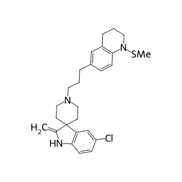 C=C1Nc2ccc(Cl)cc2C12CCN(CCCc1ccc3c(c1)CCCN3SC)CC2